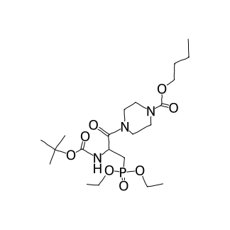 CCCCOC(=O)N1CCN(C(=O)C(CP(=O)(OCC)OCC)NC(=O)OC(C)(C)C)CC1